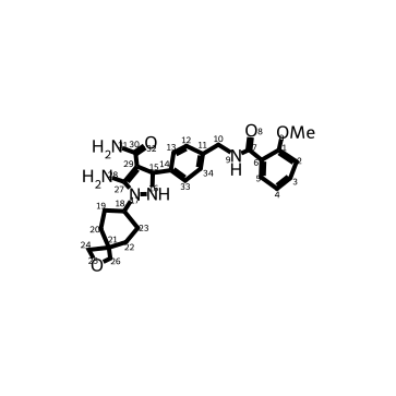 COc1ccccc1C(=O)NCc1ccc(C2NN(C3CCC4(CC3)COC4)C(N)=C2C(N)=O)cc1